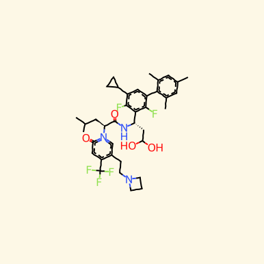 Cc1cc(C)c(-c2cc(C3CC3)c(F)c([C@H](CC(O)O)NC(=O)[C@H](CC(C)C)n3cc(CCN4CCC4)c(C(F)(F)F)cc3=O)c2F)c(C)c1